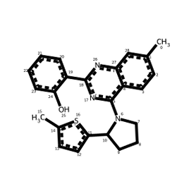 Cc1ccc2c(N3CCCC3c3ccc(C)s3)nc(-c3ccccc3O)nc2c1